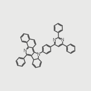 C1=CC2c3c(-c4ccccc4)nc4c(ccc5ccccc54)c3N(c3ccc(-c4cc(-c5ccccc5)nc(-c5ccccc5)n4)cc3)C2C=C1